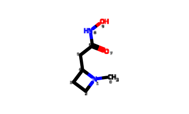 CN1CCC1CC(=O)NO